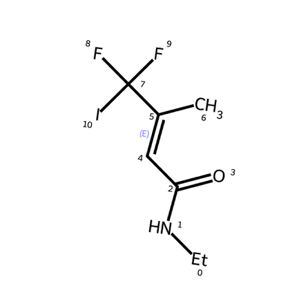 CCNC(=O)/C=C(\C)C(F)(F)I